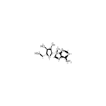 C[N+]1([C@@H]2O[C@H](C[SeH])[C@@H](O)[C@H]2O)C=Nc2c(N)ncnc21